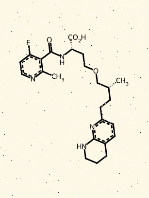 Cc1nccc(F)c1C(=O)N[C@@H](CCOC[C@H](C)CCc1ccc2c(n1)NCCC2)C(=O)O